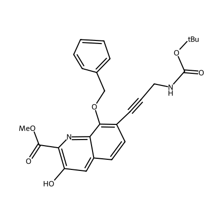 COC(=O)c1nc2c(OCc3ccccc3)c(C#CCNC(=O)OC(C)(C)C)ccc2cc1O